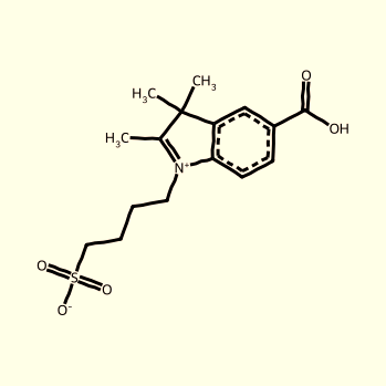 CC1=[N+](CCCCS(=O)(=O)[O-])c2ccc(C(=O)O)cc2C1(C)C